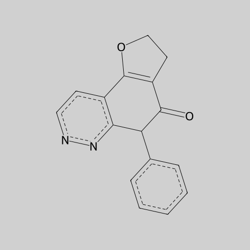 O=C1C2=C(OCC2)c2ccnnc2C1c1ccccc1